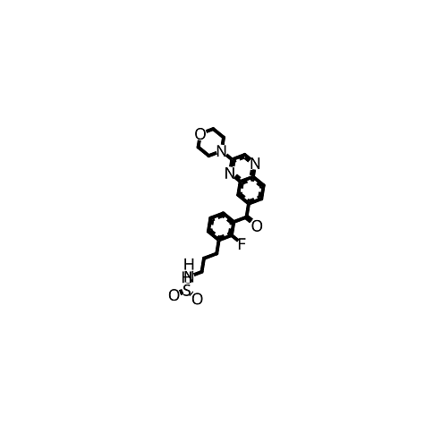 O=C(c1ccc2ncc(N3CCOCC3)nc2c1)c1cccc(CCCN[SH](=O)=O)c1F